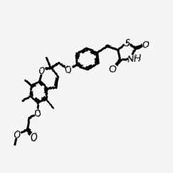 COC(=O)COc1c(C)c(C)c2c(c1C)C=CC(C)(COc1ccc(CC3SC(=O)NC3=O)cc1)O2